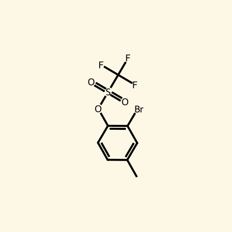 Cc1ccc(OS(=O)(=O)C(F)(F)F)c(Br)c1